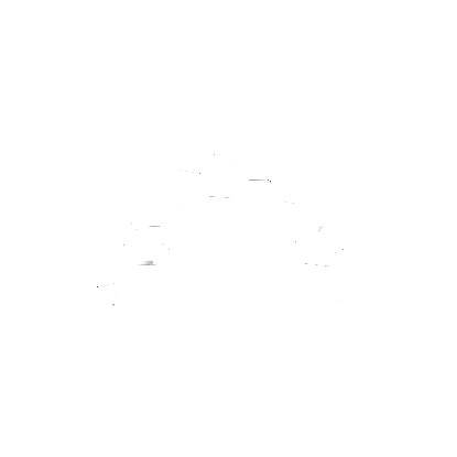 CCS(=O)(=O)c1ccc(CNC(=O)c2ccc3c(c2)CN(c2ncc(C4CC4)cn2)CC3C(C)C)cc1